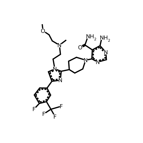 COCCN(C)CCn1cc(-c2ccc(F)c(C(F)(F)F)c2)nc1C1CCN(c2ncnc(N)c2C(N)=O)CC1